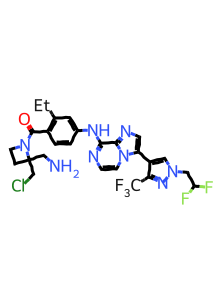 CCc1cc(Nc2nccn3c(-c4cn(CC(F)F)nc4C(F)(F)F)cnc23)ccc1C(=O)N1CCC1(CN)CCl